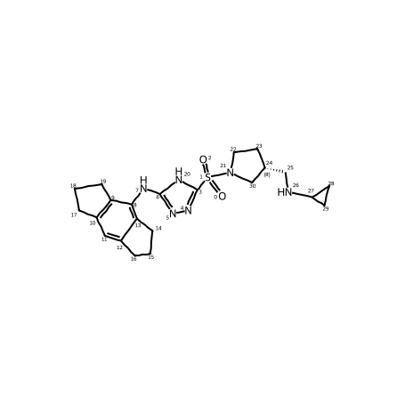 O=S(=O)(c1nnc(Nc2c3c(cc4c2CCC4)CCC3)[nH]1)N1CC[C@H](CNC2CC2)C1